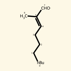 CCCCCCCC=C(C)[C]=O